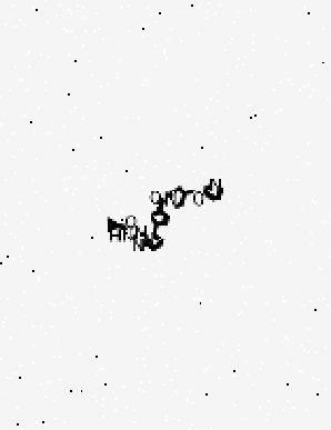 O=C(Nc1nc2cccc(-c3ccc(C(=O)N4CCC(COc5cccnc5)CC4)cc3)n2n1)C1CC1